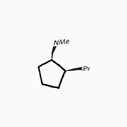 CN[C@@H]1CCC[C@@H]1C(C)C